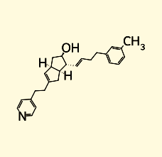 Cc1cccc(CC/C=C/[C@@H]2[C@H]3CC(CCc4ccncc4)=C[C@H]3C[C@H]2O)c1